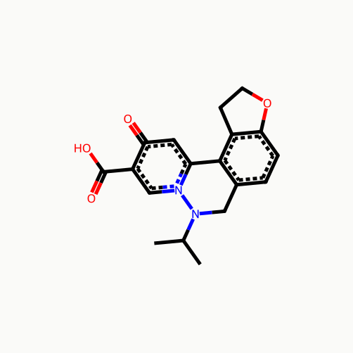 CC(C)N1Cc2ccc3c(c2-c2cc(=O)c(C(=O)O)cn21)CCO3